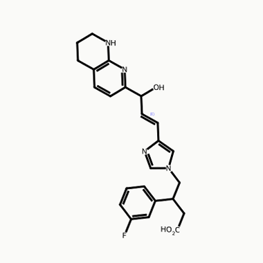 O=C(O)CC(Cn1cnc(/C=C/C(O)c2ccc3c(n2)NCCC3)c1)c1cccc(F)c1